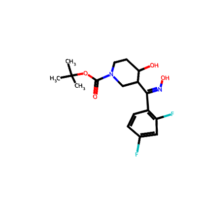 CC(C)(C)OC(=O)N1CCC(O)C(/C(=N\O)c2ccc(F)cc2F)C1